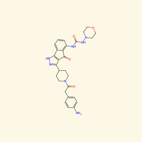 Nc1ccc(CC(=O)N2CCC(c3n[nH]c4c3C(=O)c3c(NC(=O)NN5CCOCC5)cccc3-4)CC2)cc1